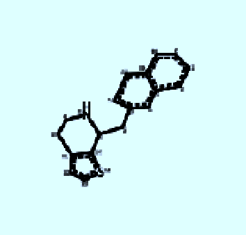 c1ccc2cc(CC3NCCc4ccsc43)ccc2c1